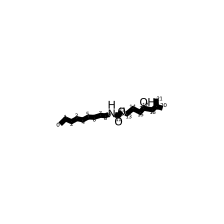 CCCCCCCCCNC(=O)OCCCC(O)CC(C)C